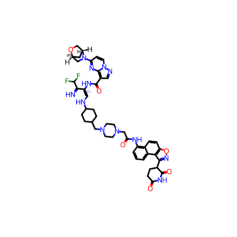 N=C(/C(=C\NC1CCC(CN2CCN(CC(=O)Nc3cccc4c3ccc3onc(C5CCC(=O)NC5=O)c34)CC2)CC1)NC(=O)c1cnn2ccc(N3C[C@H]4C[C@@H]3CO4)nc12)C(F)F